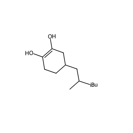 CCC(C)C(C)CC1CCC(O)=C(O)C1